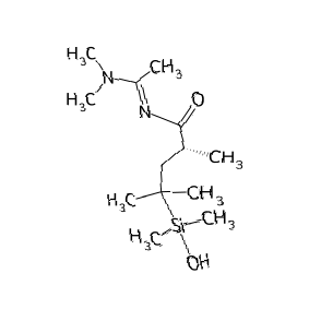 C/C(=N\C(=O)[C@H](C)CC(C)(C)[Si](C)(C)O)N(C)C